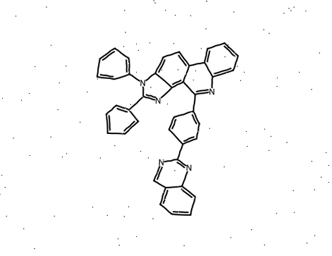 c1ccc(-c2nc3c4c(-c5ccc(-c6ncc7ccccc7n6)cc5)nc5ccccc5c4ccc3n2-c2ccccc2)cc1